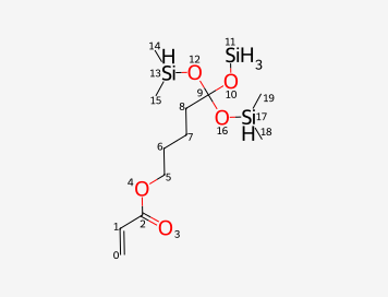 C=CC(=O)OCCCCC(O[SiH3])(O[SiH](C)C)O[SiH](C)C